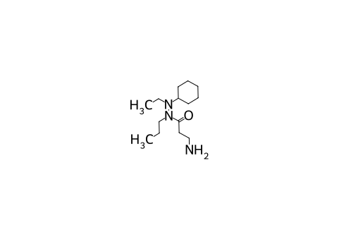 CCCN(C(=O)CCN)N(CC)C1CCCCC1